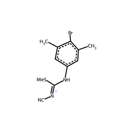 CS/C(=N\C#N)Nc1cc(C)c(Br)c(C)c1